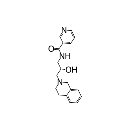 O=C(NC[C@@H](O)CN1CCc2ccccc2C1)c1cccnc1